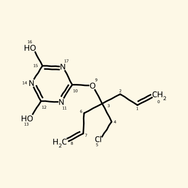 C=CCC(CCl)(CC=C)Oc1nc(O)nc(O)n1